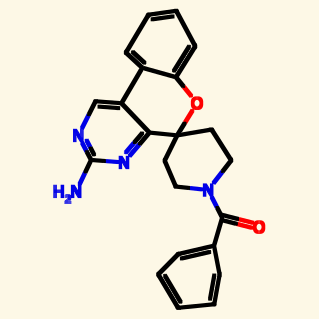 Nc1ncc2c(n1)C1(CCN(C(=O)c3ccccc3)CC1)Oc1ccccc1-2